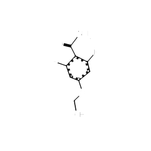 CCOc1cc(F)c(C(N)=O)c(F)c1